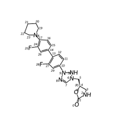 O=C1NC[C@H](CN2C=NN(c3ccc(-c4ccc(N5CCCCC5)c(F)c4)c(F)c3)N2)O1